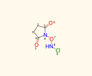 O=C1CCC(=O)N1ONCl